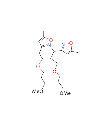 COCCCOCCc1cc(C)o[n+]1C(CCOCCCOC)c1cc(C)on1